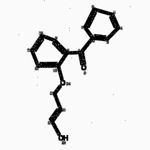 O=C(c1ccccc1)c1ccccc1OCC=CO